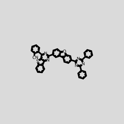 N#Cc1ccccc1-c1nc(-c2ccc3oc4cc(-c5nc(-c6ccccc6)nc(-c6ccccc6)n5)ccc4c3c2)nc2c1sc1ccccc12